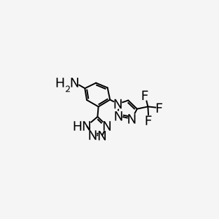 Nc1ccc(-n2cc(C(F)(F)F)nn2)c(-c2nnn[nH]2)c1